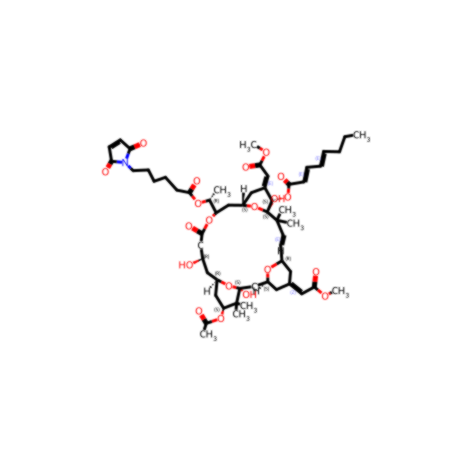 CCC/C=C/C=C/C(=O)O[C@H]1/C(=C/C(=O)OC)C[C@H]2CC([C@@H](C)OC(=O)CCCCCN3C(=O)C=CC3=O)OC(=O)C[C@H](O)C[C@@H]3C[C@H](OC(C)=O)C(C)(C)[C@](O)(C[C@@H]4C/C(=C/C(=O)OC)C[C@H](/C=C/C(C)(C)[C@]1(O)O2)O4)O3